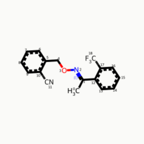 C/C(=N\OCc1ccccc1C#N)c1ccccc1C(F)(F)F